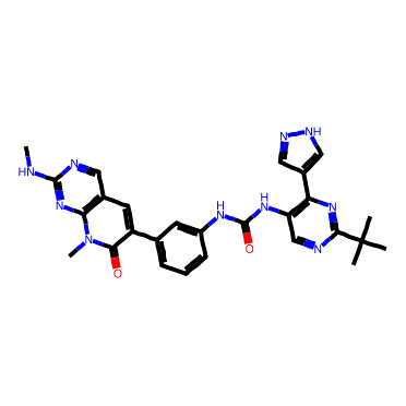 CNc1ncc2cc(-c3cccc(NC(=O)Nc4cnc(C(C)(C)C)nc4-c4cn[nH]c4)c3)c(=O)n(C)c2n1